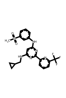 CS(=O)(=O)c1cccc(Nc2cc(NCC3CC3)nc(-c3cccc(C(F)(F)F)n3)n2)c1